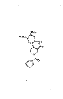 COc1cc2[nH]c(=O)c3c(c2cc1OC)CCN(C(=O)c1ccccc1)C3